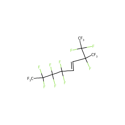 FC(F)(F)C(F)(F)C(F)(F)C(F)(F)C=CC(F)(C(F)(F)F)C(F)(F)C(F)(F)F